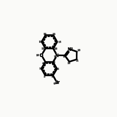 Brc1ccc2c(c1)N(C1=NCCC1)c1ccccc1O2